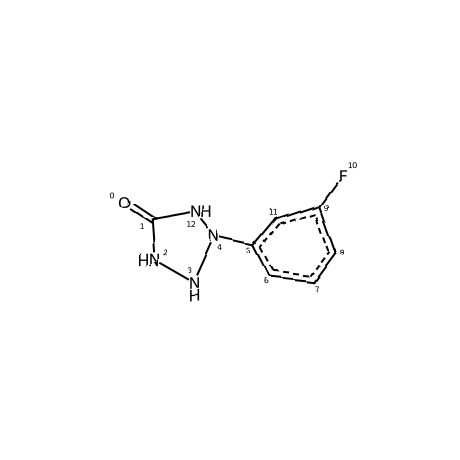 O=C1NNN(c2cccc(F)c2)N1